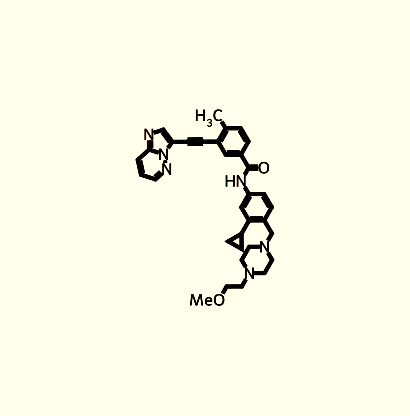 COCCN1CCN(Cc2ccc(NC(=O)c3ccc(C)c(C#Cc4cnc5cccnn45)c3)cc2C2CC2)CC1